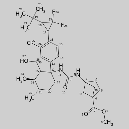 COC(=O)C12CCC(NC(=O)NC3(c4ccc(C5C(C(C)(C)C)C5(F)F)c(Cl)c4)CC[C@H](C)[C@@H](C)C3CO)(C1)C2